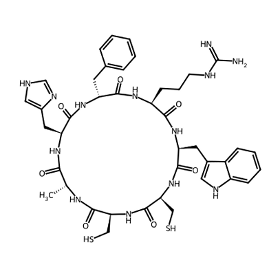 C[C@H]1NC(=O)[C@H](CS)NC(=O)[C@H](CS)NC(=O)[C@H](Cc2c[nH]c3ccccc23)NC(=O)[C@H](CCCNC(=N)N)NC(=O)[C@@H](Cc2ccccc2)NC(=O)[C@H](Cc2c[nH]cn2)NC1=O